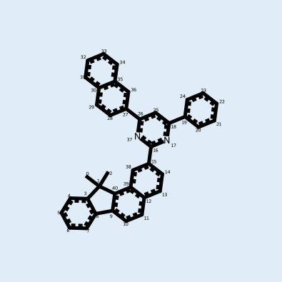 CC1(C)c2ccccc2-c2ccc3ccc(-c4nc(-c5ccccc5)cc(-c5ccc6ccccc6c5)n4)cc3c21